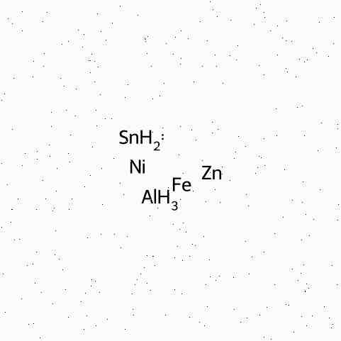 [AlH3].[Fe].[Ni].[SnH2].[Zn]